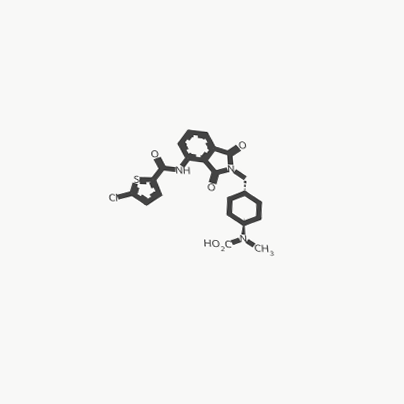 CN(C(=O)O)[C@H]1CC[C@H](CN2C(=O)c3cccc(NC(=O)c4ccc(Cl)s4)c3C2=O)CC1